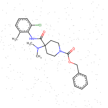 Cc1cccc(Cl)c1NC(=O)C1(N(C)C)CCN(C(=O)OCc2ccccc2)CC1